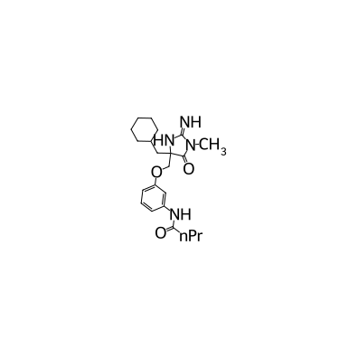 CCCC(=O)Nc1cccc(OCC2(CC3CCCCC3)NC(=N)N(C)C2=O)c1